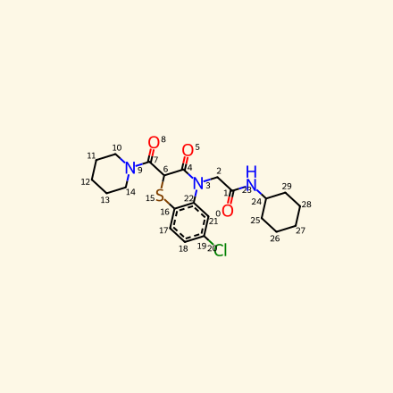 O=C(CN1C(=O)C(C(=O)N2CCCCC2)Sc2ccc(Cl)cc21)NC1CCCCC1